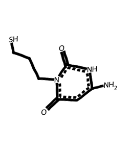 Nc1cc(=O)n(CCCS)c(=O)[nH]1